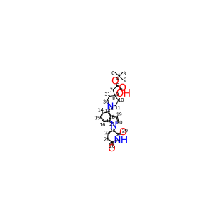 CC(C)(C)OC(=O)CC1(O)CCN(c2cccc3c2ccn3[C@H]2CCC(=O)NC2=O)CC1